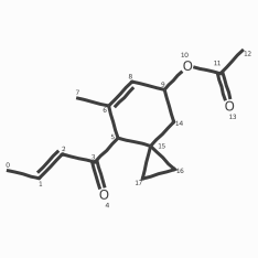 CC=CC(=O)C1C(C)=CC(OC(C)=O)CC12CC2